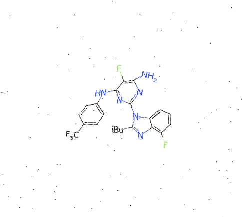 CCC(C)c1nc2c(F)cccc2n1-c1nc(N)c(F)c(Nc2ccc(C(F)(F)F)cc2)n1